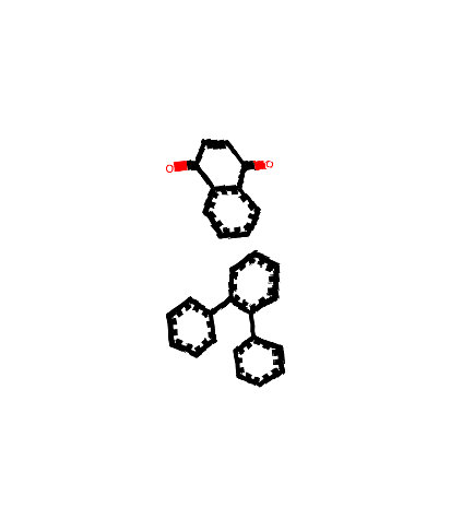 O=C1C=CC(=O)c2ccccc21.c1ccc(-c2ccccc2-c2ccccc2)cc1